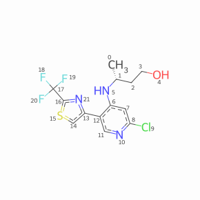 C[C@H](CCO)Nc1cc(Cl)ncc1-c1csc(C(F)(F)F)n1